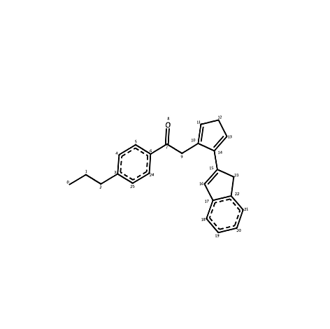 CCCc1ccc(C(=O)CC2=CCC=C2C2=Cc3ccccc3C2)cc1